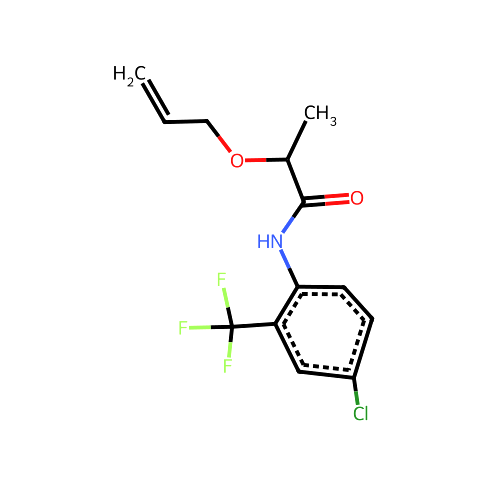 C=CCOC(C)C(=O)Nc1ccc(Cl)cc1C(F)(F)F